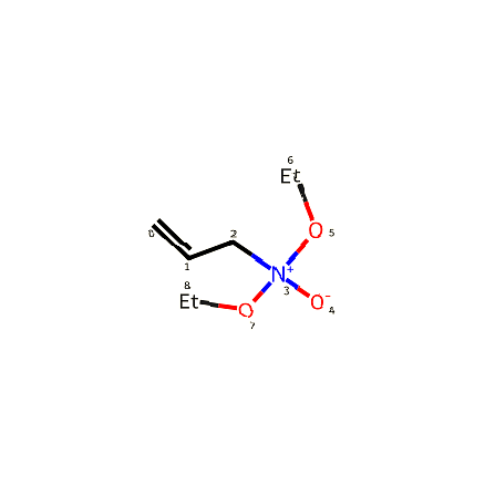 C=CC[N+]([O-])(OCC)OCC